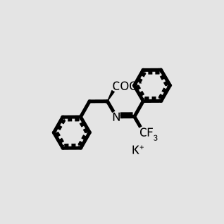 O=C([O-])[C@H](Cc1ccccc1)N=C(c1ccccc1)C(F)(F)F.[K+]